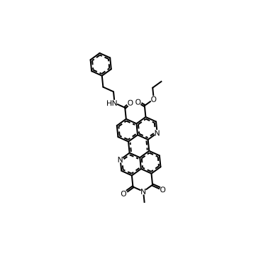 CCOC(=O)c1cnc2c3ccc4c5c(cnc(c6ccc(C(=O)NCCc7ccccc7)c1c62)c53)C(=O)N(C)C4=O